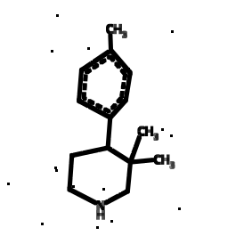 Cc1ccc(C2CCNCC2(C)C)cc1